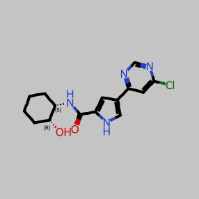 O=C(N[C@H]1CCCC[C@H]1O)c1cc(-c2cc(Cl)ncn2)c[nH]1